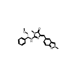 COC[C@H](NC1=N/C(=C\c2ccc3nn(C)cc3c2)C(=O)N1C)c1ccccc1